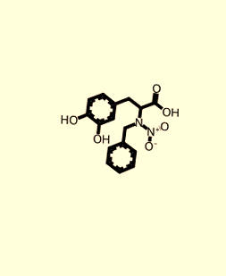 O=C(O)C(Cc1ccc(O)c(O)c1)N(Cc1ccccc1)[N+](=O)[O-]